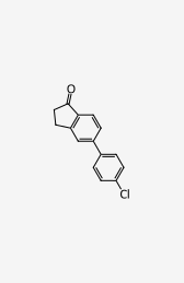 O=C1CCc2cc(-c3ccc(Cl)cc3)ccc21